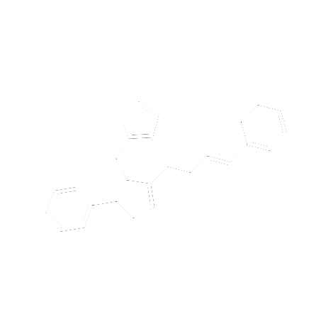 C1=C(CC/C=C/c2ccccc2)C(Cc2ccco2)C(c2ccccc2)=C1